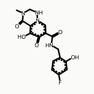 CN1CNn2cc(C(=O)NCc3ccc(F)cc3O)c(=O)c(O)c2C1=O